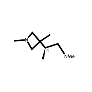 CNC[C@@H](C)C1(C)CN(C)C1